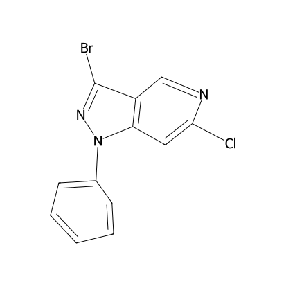 Clc1cc2c(cn1)c(Br)nn2-c1ccccc1